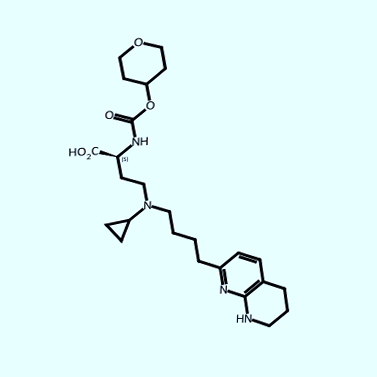 O=C(N[C@@H](CCN(CCCCc1ccc2c(n1)NCCC2)C1CC1)C(=O)O)OC1CCOCC1